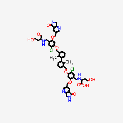 Cc1c(COc2cc(OCc3cnc4c(c3)C(=O)NC4)c(CNC(C=O)CCO)cc2Cl)cccc1-c1cccc(COc2cc(OCc3cnc4c(c3)C(=O)NC4)c(CNC(CCO)C(=O)O)cc2Cl)c1C